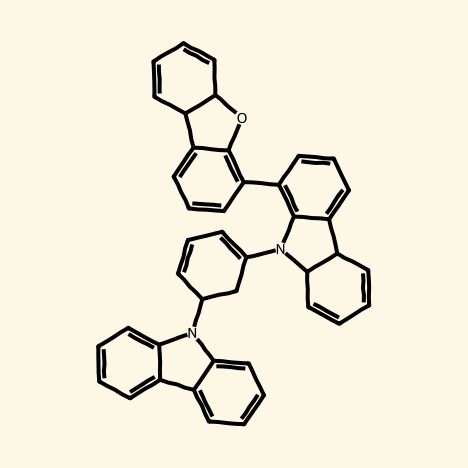 C1=CC2Oc3c(-c4cccc5c4N(C4=CC=CC(n6c7ccccc7c7ccccc76)C4)C4C=CC=CC54)cccc3C2C=C1